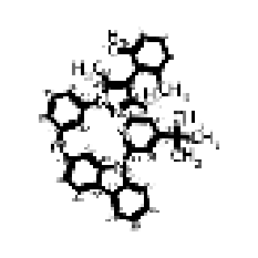 CC1=CCCC(C)=C1c1c(C)nn(-c2cccc(Oc3ccc4c5ccccc5n(-c5cc(C(C)(C)C)ccn5)c4c3)c2)c1C